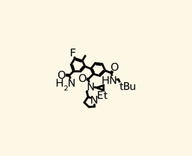 CCN1CCCC1CN(C(=O)c1cc(C(=O)NCC(C)(C)C)ccc1-c1cc(C(N)=O)cc(F)c1C)C1CC1